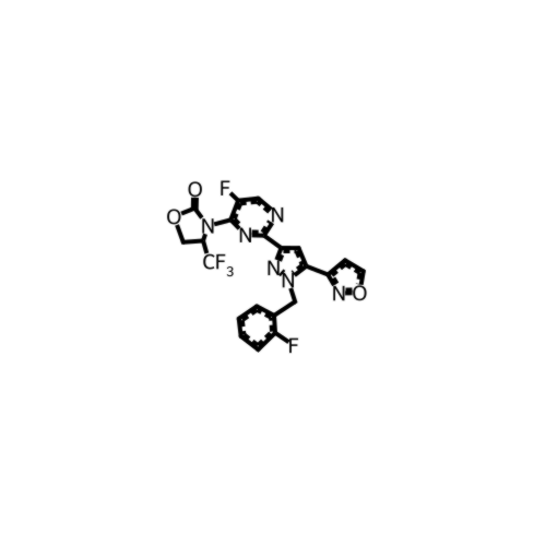 O=C1OCC(C(F)(F)F)N1c1nc(-c2cc(-c3ccon3)n(Cc3ccccc3F)n2)ncc1F